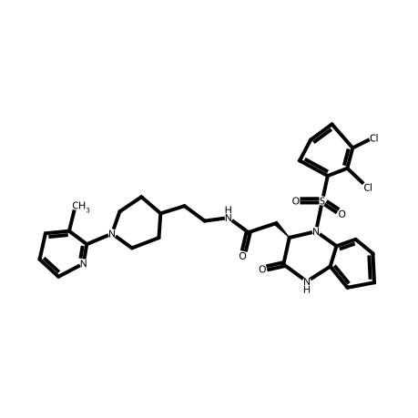 Cc1cccnc1N1CCC(CCNC(=O)C[C@@H]2C(=O)Nc3ccccc3N2S(=O)(=O)c2cccc(Cl)c2Cl)CC1